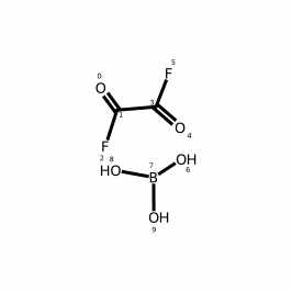 O=C(F)C(=O)F.OB(O)O